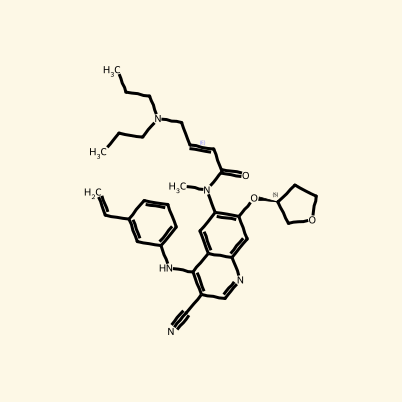 C=Cc1cccc(Nc2c(C#N)cnc3cc(O[C@H]4CCOC4)c(N(C)C(=O)/C=C/CN(CCC)CCC)cc23)c1